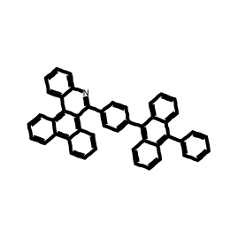 c1ccc(-c2c3ccccc3c(-c3ccc(-c4nc5ccccc5c5c6ccccc6c6ccccc6c45)cc3)c3ccccc23)cc1